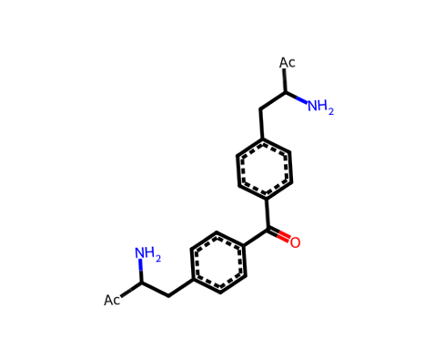 CC(=O)C(N)Cc1ccc(C(=O)c2ccc(CC(N)C(C)=O)cc2)cc1